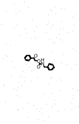 O=C(NCc1ccccc1)OCC(=O)c1ccccc1